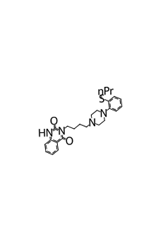 CCCSc1ccccc1N1CCN(CCCCn2c(=O)[nH]c3ccccc3c2=O)CC1